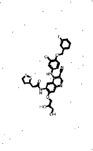 N#Cc1cnc2cc(OCC(O)CO)c(NC(=O)CC3CCSS3)cc2c1Nc1ccc(OCc2cccc(F)c2)c(Cl)c1